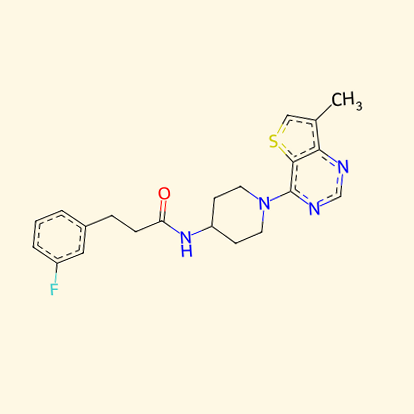 Cc1csc2c(N3CCC(NC(=O)CCc4cccc(F)c4)CC3)ncnc12